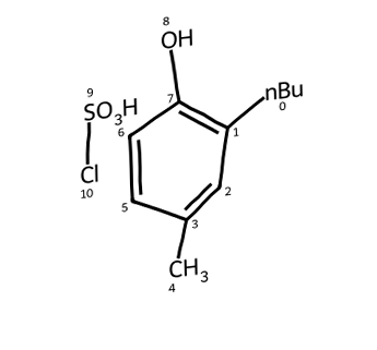 CCCCc1cc(C)ccc1O.O=S(=O)(O)Cl